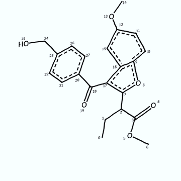 CCC(C(=O)OC)c1oc2ccc(OC)cc2c1C(=O)c1ccc(CO)cc1